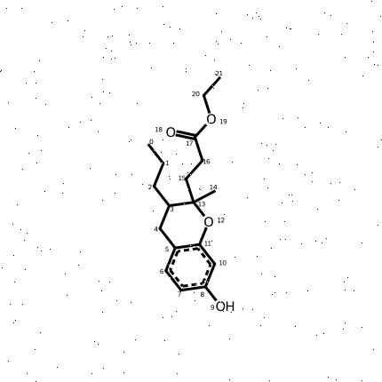 CCCC1Cc2ccc(O)cc2OC1(C)CCC(=O)OCC